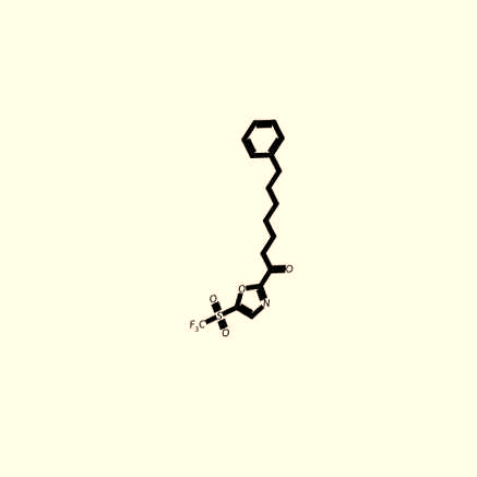 O=C(CCCCCCc1ccccc1)c1ncc(S(=O)(=O)C(F)(F)F)o1